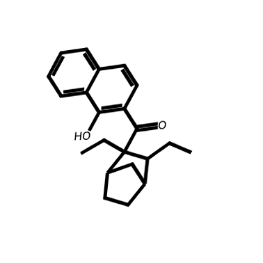 CCC1C2CCC(C2)C1(CC)C(=O)c1ccc2ccccc2c1O